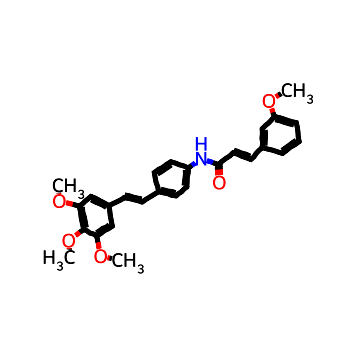 COc1cccc(/C=C/C(=O)Nc2ccc(C=Cc3cc(OC)c(OC)c(OC)c3)cc2)c1